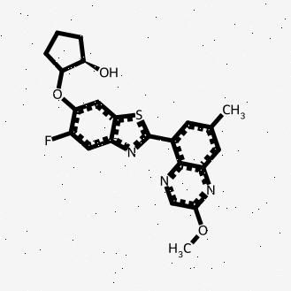 COc1cnc2c(-c3nc4cc(F)c(OC5CCC[C@H]5O)cc4s3)cc(C)cc2n1